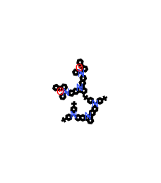 CC(C)(C)c1ccc(N(c2ccc(C(C)(C)C)cc2)c2ccc3cc4c5cccc6c7cc8ccc(N(c9ccc(C(C)(C)C)cc9)c9ccc(C(C)(C)Cc%10ccc%11c%12cc%13ccc(N(c%14ccccc%14)c%14cccc%15c%14oc%14ccccc%14%15)cc%13cc%12n%12c%13cc%14cc(N(c%15ccccc%15)c%15cccc%16c%15oc%15ccccc%15%16)ccc%14cc%13c%10c%11%12)cc9)cc8cc7n(c4cc3c2)c56)cc1